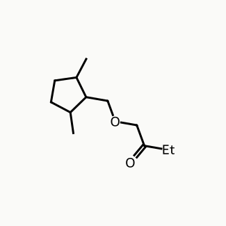 CCC(=O)COCC1C(C)CCC1C